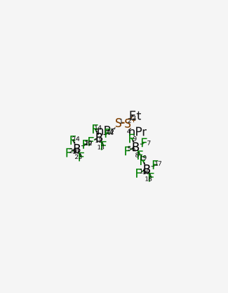 CCCS[S+](CC)CCC.F[B-](F)(F)F.F[B-](F)(F)F.F[B-](F)(F)F.F[B-](F)(F)F